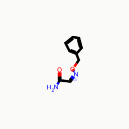 NC(=O)/C=N\OCc1ccccc1